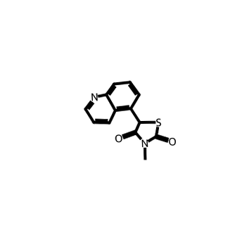 CN1C(=O)SC(c2cccc3ncccc23)C1=O